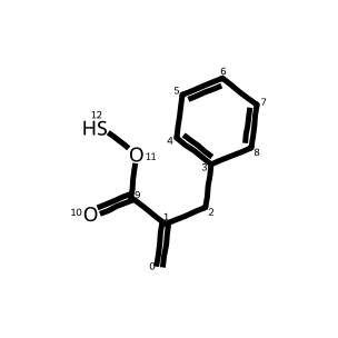 C=C(Cc1ccccc1)C(=O)OS